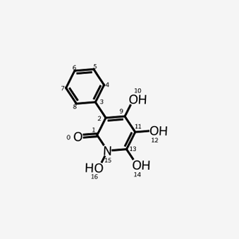 O=c1c(-c2ccccc2)c(O)c(O)c(O)n1O